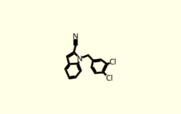 N#Cc1cc2ccccc2n1Cc1ccc(Cl)c(Cl)c1